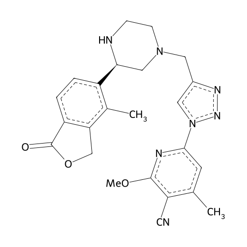 COc1nc(-n2cc(CN3CCN[C@H](c4ccc5c(c4C)COC5=O)C3)nn2)cc(C)c1C#N